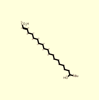 CCCCC(O)CCCCCCCCCCCCCCCCC=CC(=O)O